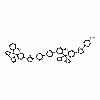 N#Cc1ccc(-c2ccc(-c3ccc4c(c3)Oc3ccc(-c5ccc(-c6ccc(-c7ccc(-c8ccc9c(c8)Oc8ccccc8C98c9ccccc9-c9ccccc98)s7)nn6)cc5)cc3C43c4ccccc4-c4ccccc43)o2)cc1